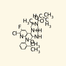 CC(C)c1ccccc1-n1c(=O)c2c(c3cc(F)c(Cl)nc31)N1C[C@@H](C)N(C(=O)OC(C)(C)C)C[C@@H]1CN2